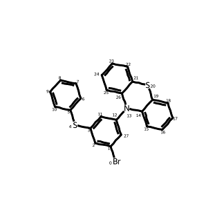 Brc1cc(Sc2ccccc2)cc(N2c3ccccc3Sc3ccccc32)c1